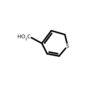 O=C(O)C1=CCSC=C1